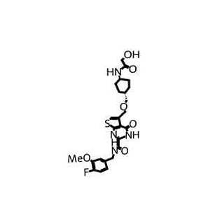 COc1cc(CNC(=O)c2nc3scc(COC[C@H]4CC[C@H](NC(=O)CO)CC4)c3c(=O)[nH]2)ccc1F